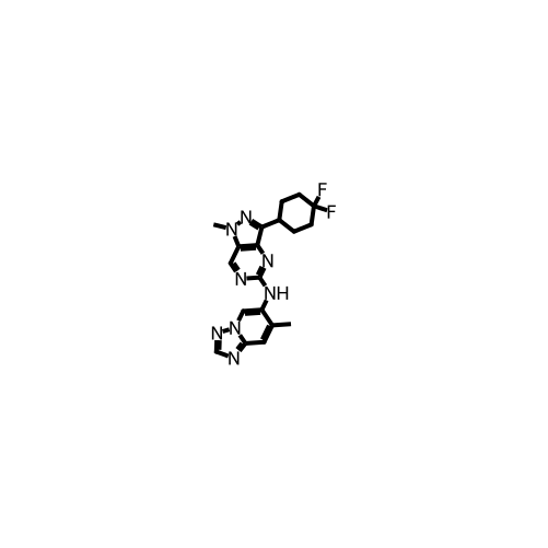 Cc1cc2ncnn2cc1Nc1ncc2c(n1)c(C1CCC(F)(F)CC1)nn2C